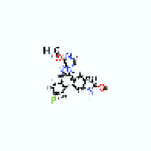 COc1nccn2c(-c3ccc4c(c3)CC(=O)N4)c(-c3ccc(F)cc3)nc12